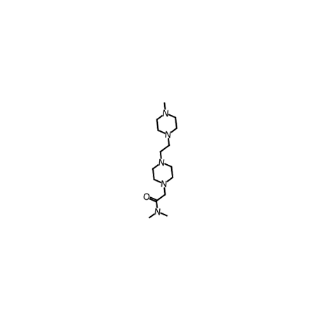 CN1CCN(CCN2CCN(CC(=O)N(C)C)CC2)CC1